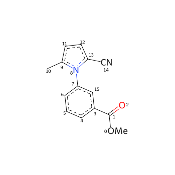 COC(=O)c1cccc(-n2c(C)ccc2C#N)c1